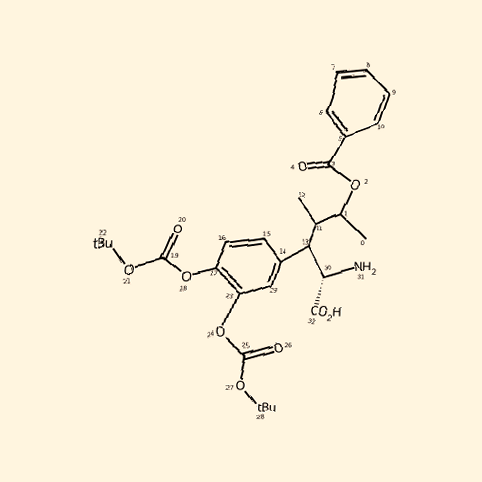 CC(OC(=O)c1ccccc1)C(C)C(c1ccc(OC(=O)OC(C)(C)C)c(OC(=O)OC(C)(C)C)c1)[C@H](N)C(=O)O